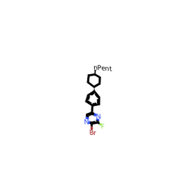 CCCCC[C@H]1CC[C@H](c2ccc(-c3cnc(Br)c(F)n3)cc2)CC1